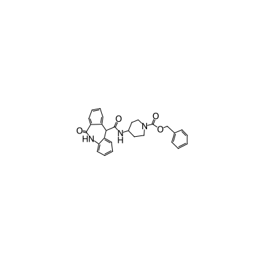 O=C1Nc2ccccc2C(C(=O)NC2CCN(C(=O)OCc3ccccc3)CC2)c2ccccc21